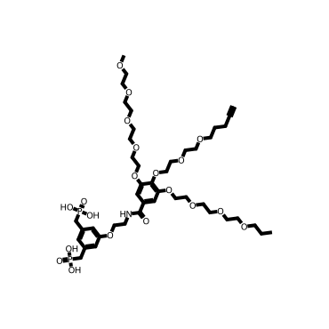 C#CCCCOCCOCCOc1c(OCCOCCOCCOCCC)cc(C(=O)NCCOc2cc(CP(=O)(O)O)cc(CP(=O)(O)O)c2)cc1OCCOCCOCCOCCOC